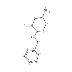 CC1CC(N)CCC1OCc1ccccc1